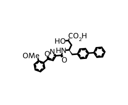 COc1ccccc1-c1cc(C(=O)N[C@H](Cc2ccc(-c3ccccc3)cc2)C[C@@H](O)C(=O)O)no1